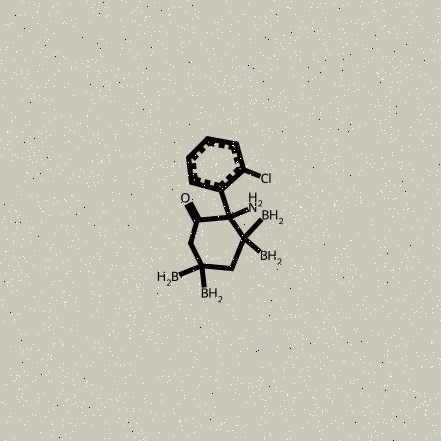 BC1(B)CC(=O)C(N)(c2ccccc2Cl)C(B)(B)C1